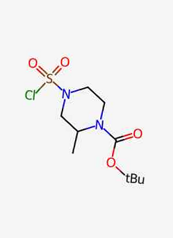 CC1CN(S(=O)(=O)Cl)CCN1C(=O)OC(C)(C)C